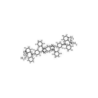 CC1(C)c2ccccc2N(c2ccc(-c3nc4cc5c(cc4n3-c3ccccc3)nc(-c3ccc(N4c6ccccc6C(C)(C)c6ccccc64)cc3)n5-c3ccccc3)cc2)c2ccccc21